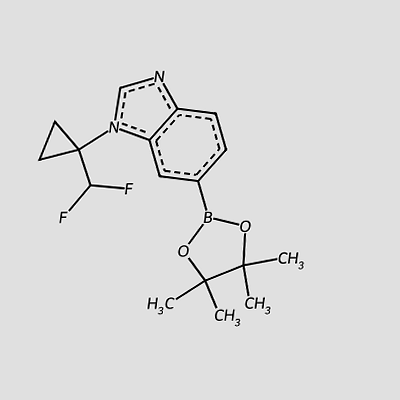 CC1(C)OB(c2ccc3ncn(C4(C(F)F)CC4)c3c2)OC1(C)C